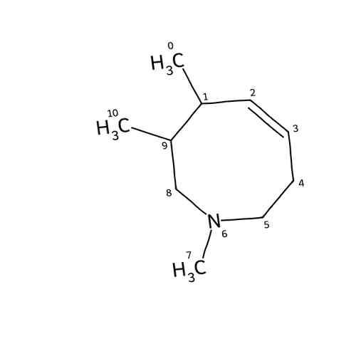 CC1/C=C\CCN(C)CC1C